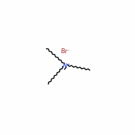 CCCCCCCCCCCC[N+](CC)(CCCCCCCCCCCC)CCCCCCCCCCCC.[Br-]